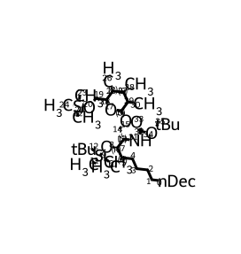 CCCCCCCCCCCCCC[C@@H](C)[C@@H](O[Si](C)(C)C(C)(C)C)[C@H](CO[C@H]1OC(CO[Si](C)(C)C)[C@H](C)[C@H](C)C1C)NC(=O)OC(C)(C)C